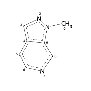 Cn1ncc2[c]cncc21